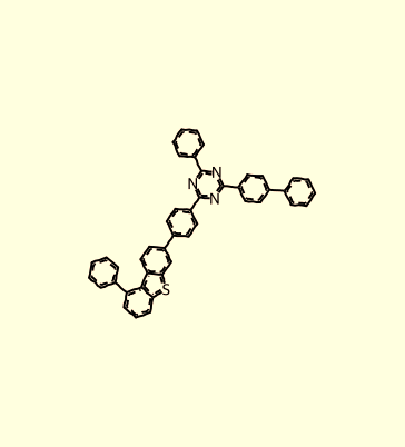 c1ccc(-c2ccc(-c3nc(-c4ccccc4)nc(-c4ccc(-c5ccc6c(c5)sc5cccc(-c7ccccc7)c56)cc4)n3)cc2)cc1